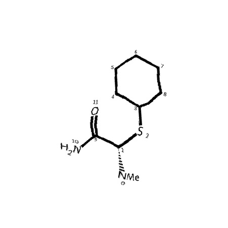 CN[C@@H](SC1CCCCC1)C(N)=O